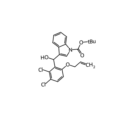 C=CCOc1ccc(Cl)c(Cl)c1C(O)c1cn(C(=O)OC(C)(C)C)c2ccccc12